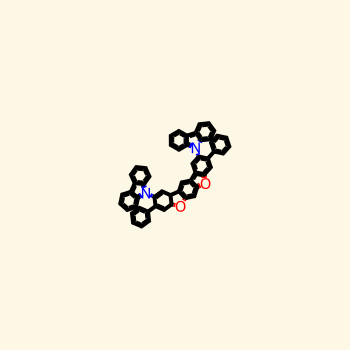 C1=C(c2ccccc2)C(n2c3ccccc3c3ccccc32)=CC2c3cc4c(cc3OC12)oc1cc(-c2ccccc2)c(-n2c3ccccc3c3ccccc32)cc14